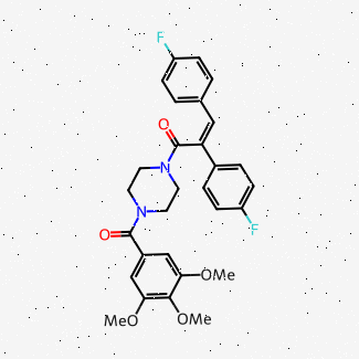 COc1cc(C(=O)N2CCN(C(=O)/C(=C\c3ccc(F)cc3)c3ccc(F)cc3)CC2)cc(OC)c1OC